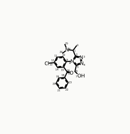 CC(c1nnc(CO)n1-c1ccc(Cl)cc1C(=O)c1ccccc1)N(C)C